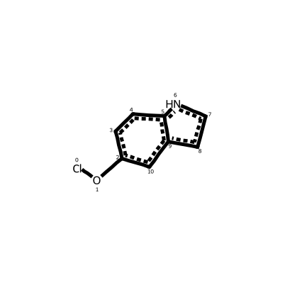 ClOc1ccc2[nH]ccc2c1